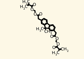 C=C(C)C(=O)OCOC(=O)Cc1ccc2c(c1)C(C)(C)c1cc(CC(=O)OCOC(=O)C(=C)C)ccc1-2